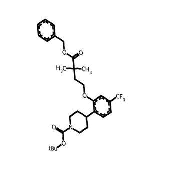 CC(C)(C)OC(=O)N1CCC(c2ccc(C(F)(F)F)cc2OCCC(C)(C)C(=O)OCc2ccccc2)CC1